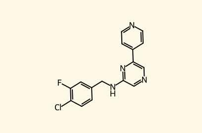 Fc1cc(CNc2cncc(-c3ccncc3)n2)ccc1Cl